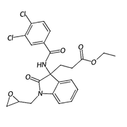 CCOC(=O)CCC1(NC(=O)c2ccc(Cl)c(Cl)c2)C(=O)N(CC2CO2)c2ccccc21